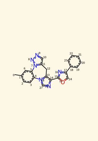 Cc1ccc2c(c1)-n1nncc1Cc1c(-c3nc(-c4ccccc4)co3)ncn1-2